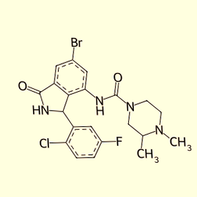 CC1CN(C(=O)Nc2cc(Br)cc3c2C(c2cc(F)ccc2Cl)NC3=O)CCN1C